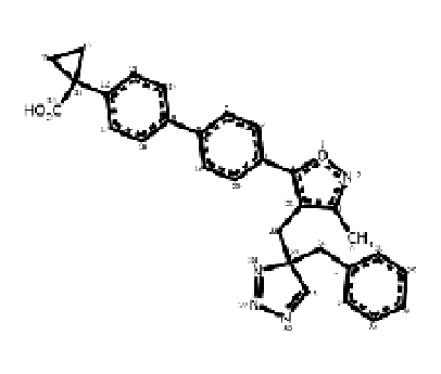 Cc1noc(-c2ccc(-c3ccc(C4(C(=O)O)CC4)cc3)cc2)c1CC1(Cc2ccccc2)C=NN=N1